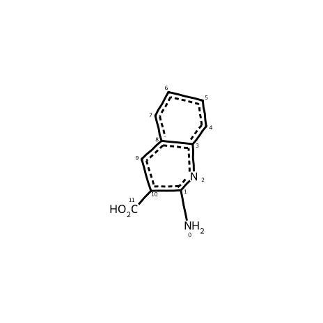 Nc1nc2ccccc2cc1C(=O)O